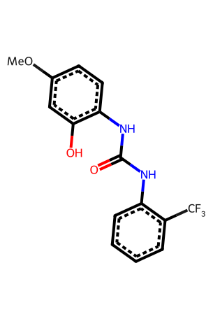 COc1ccc(NC(=O)Nc2ccccc2C(F)(F)F)c(O)c1